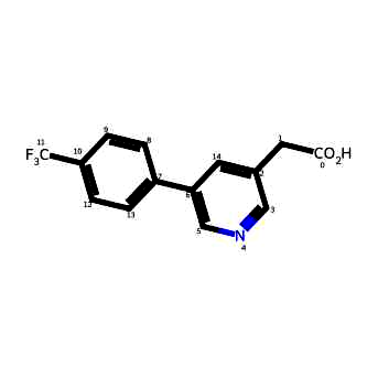 O=C(O)Cc1cncc(-c2ccc(C(F)(F)F)cc2)c1